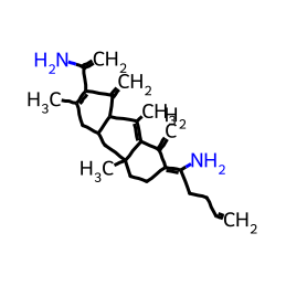 C=CCC/C(N)=C1\CCC2(C)CC3CC(C)=C(C(=C)N)C(=C)C3C(C)=C2C1=C